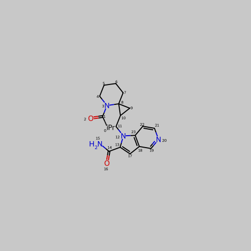 CC(C)C(=O)N1CCCCC12CC2Cn1c(C(N)=O)cc2cnccc21